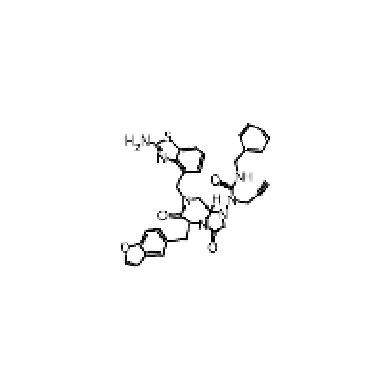 C#CCN(C(=O)NCc1ccccc1)N1CC(=O)N2[C@@H](Cc3ccc4occc4c3)C(=O)N(Cc3cccc4sc(N)nc34)C[C@@H]21